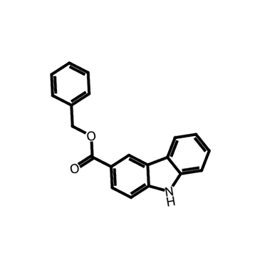 O=C(OCc1ccccc1)c1ccc2[nH]c3ccccc3c2c1